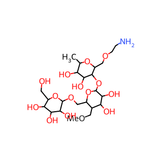 COCC1C(COC2OC(CO)C(O)C(O)C2O)OC(OC2C(COCCN)OC(C)C(O)C2O)C(O)C1O